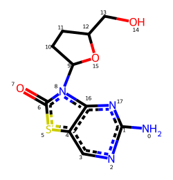 Nc1ncc2sc(=O)n(C3CCC(CO)O3)c2n1